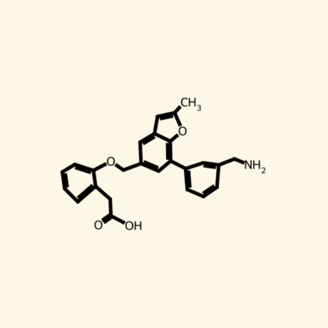 Cc1cc2cc(COc3ccccc3CC(=O)O)cc(-c3cccc(CN)c3)c2o1